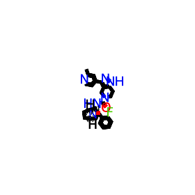 Cc1cc(-c2n[nH]c3c2CN(C(=O)N[C@@H]2CC[C@@H]4CC[C@H]2N4Cc2ccccc2F)CC3)ccn1